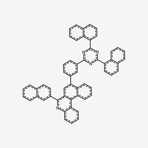 c1cc(-c2nc(-c3cccc4ccccc34)nc(-c3cccc4ccccc34)n2)cc(-c2cc3c(-c4ccc5ccccc5c4)nc4ccccc4c3c3ccccc23)c1